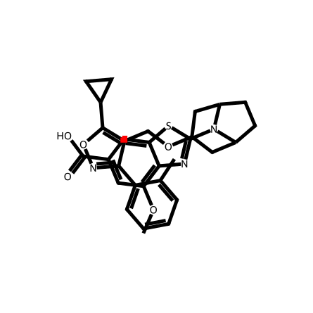 COc1cc(C(=O)O)cc2sc(N3C4CCC3CC(OCc3c(-c5ccccc5C)noc3C3CC3)C4)nc12